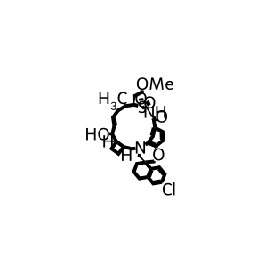 COCC[C@@H]1[C@@H](C)C/C=C/[C@H](O)[C@@H]2CC[C@H]2CN2C[C@@]3(CCCc4cc(Cl)ccc43)COc3ccc(cc32)C(=O)NS1(=O)=O